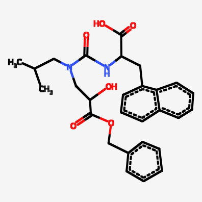 CC(C)CN(CC(O)C(=O)OCc1ccccc1)C(=O)NC(Cc1cccc2ccccc12)C(=O)O